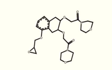 O=C(COC1Cc2cccc(OCC3CO3)c2CC1OCC(=O)N1CCOCC1)N1CCOCC1